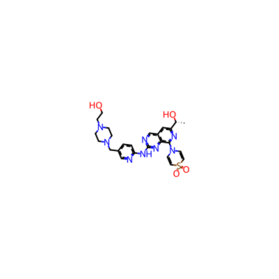 C[C@@H](O)c1cc2cnc(Nc3ccc(CN4CCN(CCO)CC4)cn3)nc2c(N2C=CS(=O)(=O)C=C2)n1